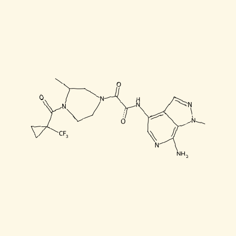 CC1CN(C(=O)C(=O)Nc2cnc(N)c3c2cnn3C)CCN1C(=O)C1(C(F)(F)F)CC1